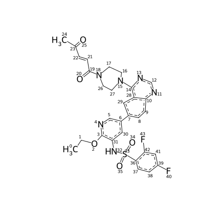 CCOc1ncc(-c2ccc3ncnc(N4CCN(C(=O)/C=C/C(C)=O)CC4)c3c2)cc1NS(=O)(=O)c1ccc(F)cc1F